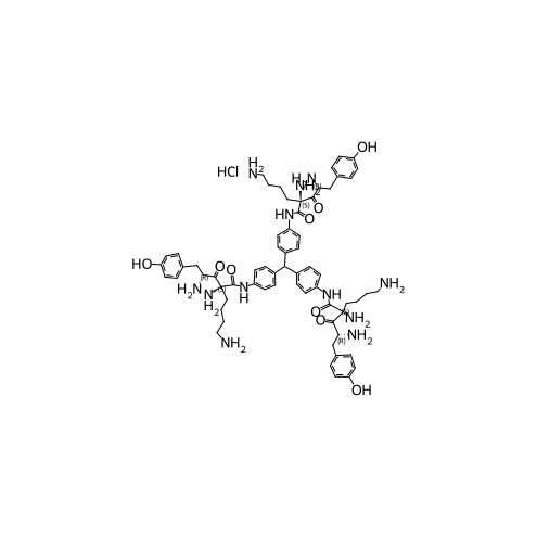 Cl.NCCCC[C@@](N)(C(=O)Nc1ccc(C(c2ccc(NC(=O)[C@](N)(CCCCN)C(=O)[C@H](N)Cc3ccc(O)cc3)cc2)c2ccc(NC(=O)[C@](N)(CCCCN)C(=O)[C@H](N)Cc3ccc(O)cc3)cc2)cc1)C(=O)[C@H](N)Cc1ccc(O)cc1